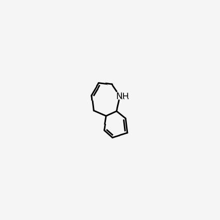 C1=CC2CC=CCNC2C=C1